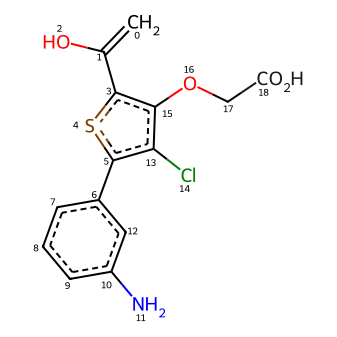 C=C(O)c1sc(-c2cccc(N)c2)c(Cl)c1OCC(=O)O